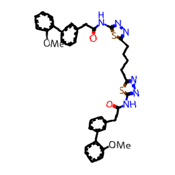 COc1ccccc1-c1cccc(CC(=O)Nc2nnc(CCCCc3nnc(NC(=O)Cc4cccc(-c5ccccc5OC)c4)s3)s2)c1